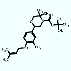 CC(C)=CCNc1ccc(C2CN(C(=O)OC(C)(C)C)C(C)(C)CO2)cc1C